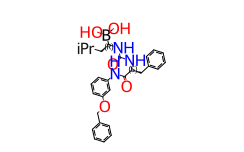 CC(C)C[C@H](NC(=O)N[C@@H](Cc1ccccc1)C(=O)Nc1cccc(OCc2ccccc2)c1)B(O)O